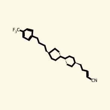 N#CC=CCC[C@H]1CC[C@H]([C@H]2CC[C@H](CCCCc3ccc(C(F)(F)F)cc3)CC2)CC1